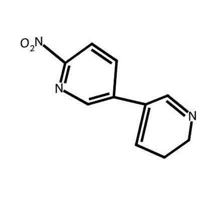 O=[N+]([O-])c1ccc(C2=CCCN=C2)cn1